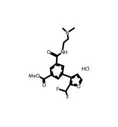 COC(=O)c1cc(C(=O)NCCN(C)C)cc(-c2ccoc2C(F)F)c1.Cl